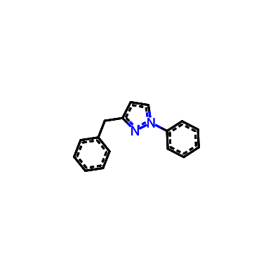 c1ccc(Cc2ccn(-c3ccccc3)n2)cc1